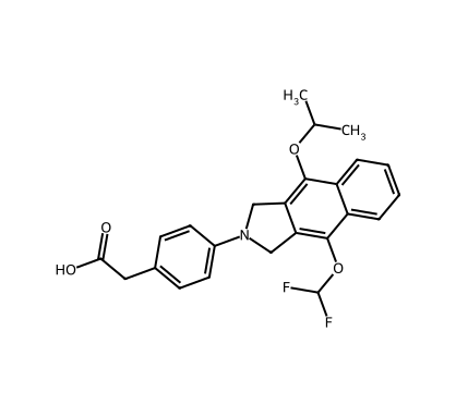 CC(C)Oc1c2c(c(OC(F)F)c3ccccc13)CN(c1ccc(CC(=O)O)cc1)C2